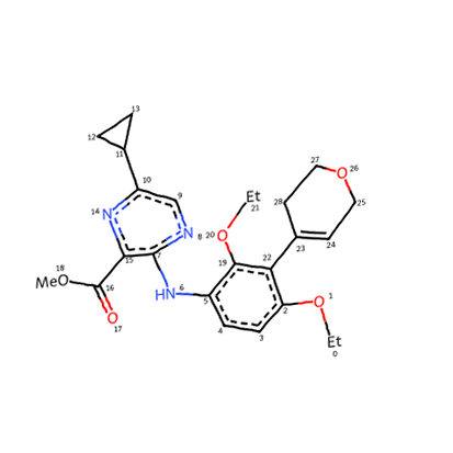 CCOc1ccc(Nc2ncc(C3CC3)nc2C(=O)OC)c(OCC)c1C1=CCOCC1